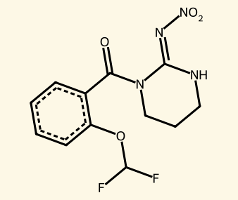 O=C(c1ccccc1OC(F)F)N1CCCNC1=N[N+](=O)[O-]